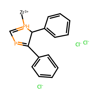 [Cl-].[Cl-].[Cl-].[Zr+3][PH]1=CP=C(c2ccccc2)C1c1ccccc1